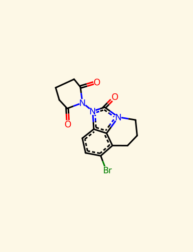 O=C1CCCC(=O)N1n1c(=O)n2c3c(c(Br)ccc31)CCC2